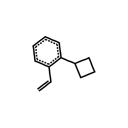 C=Cc1ccccc1C1CCC1